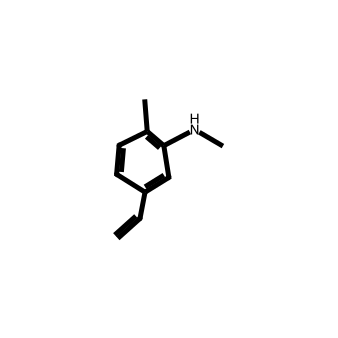 C=Cc1ccc(C)c(NC)c1